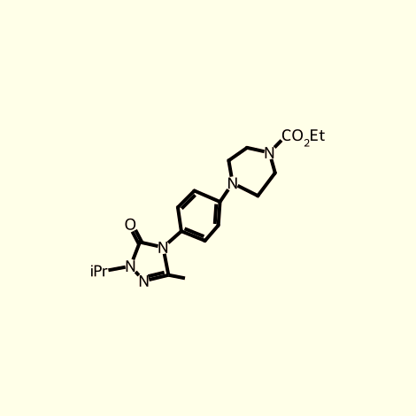 CCOC(=O)N1CCN(c2ccc(-n3c(C)nn(C(C)C)c3=O)cc2)CC1